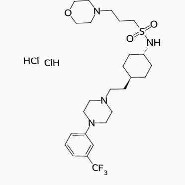 Cl.Cl.O=S(=O)(CCCN1CCOCC1)N[C@H]1CC[C@H](CCN2CCN(c3cccc(C(F)(F)F)c3)CC2)CC1